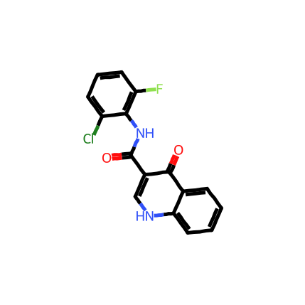 O=C(Nc1c(F)cccc1Cl)c1c[nH]c2ccccc2c1=O